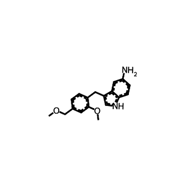 COCc1ccc(Cc2c[nH]c3ccc(N)cc23)c(OC)c1